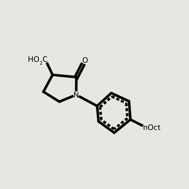 CCCCCCCCc1ccc(N2CCC(C(=O)O)C2=O)cc1